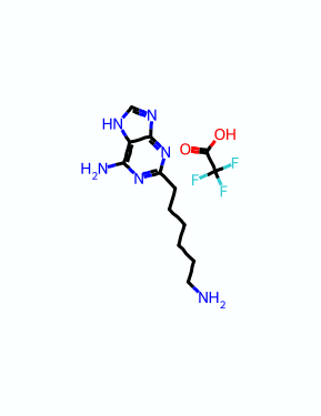 NCCCCCCc1nc(N)c2[nH]cnc2n1.O=C(O)C(F)(F)F